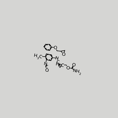 CCOC(N)=O.Cc1ccc(N=C=O)cc1N=C=O.c1ccc(OCC2CO2)cc1